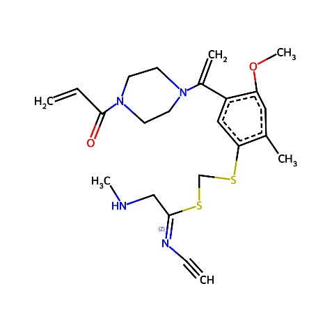 C#C/N=C(/CNC)SCSc1cc(C(=C)N2CCN(C(=O)C=C)CC2)c(OC)cc1C